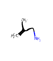 [CH2]C(=C)CN